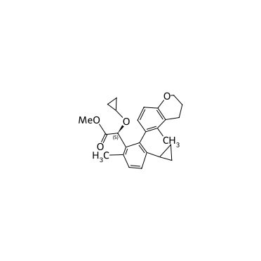 COC(=O)[C@@H](OC1CC1)c1c(C)ccc(C2CC2)c1-c1ccc2c(c1C)CCCO2